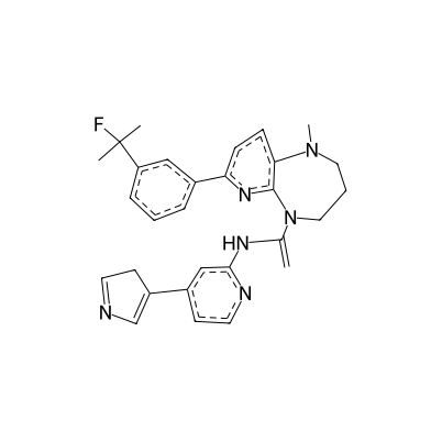 C=C(Nc1cc(C2=CN=CC2)ccn1)N1CCCN(C)c2ccc(-c3cccc(C(C)(C)F)c3)nc21